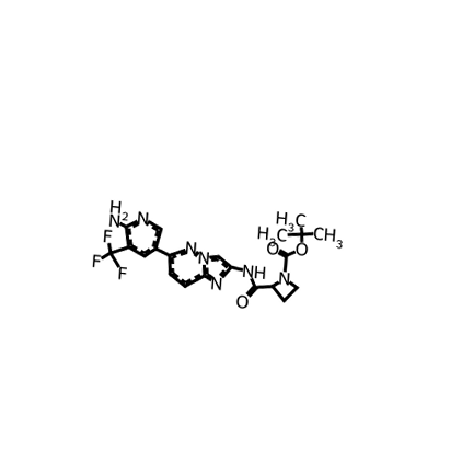 CC(C)(C)OC(=O)N1CCC1C(=O)Nc1cn2nc(-c3cnc(N)c(C(F)(F)F)c3)ccc2n1